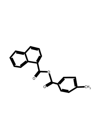 Cc1ccc(C(=O)OC(=O)c2cccc3ccccc23)cc1